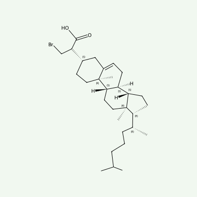 CC(C)CCC[C@@H](C)[C@H]1CC[C@H]2[C@@H]3CC=C4C[C@@H](C(CBr)C(=O)O)CC[C@]4(C)[C@H]3CC[C@]12C